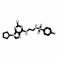 O=S(=O)(NCCNc1nc(Cl)nc2c1ncn2C1CCCC1)c1ccc(F)cc1